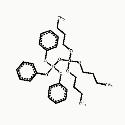 CCCCO[Si](OCCCC)(OCCCC)[O][Ti]([O]c1ccccc1)([O]c1ccccc1)[O]c1ccccc1